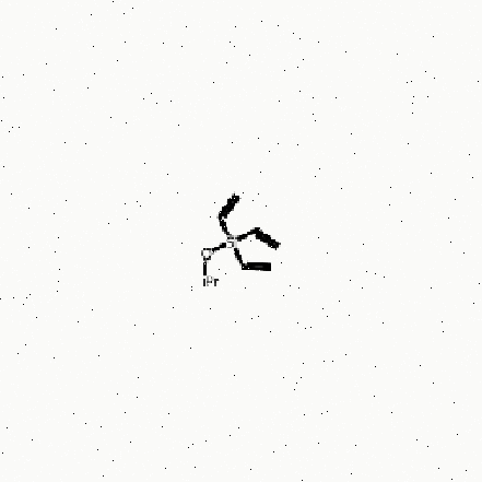 C=C[Si](C=C)(C=C)OC(C)C